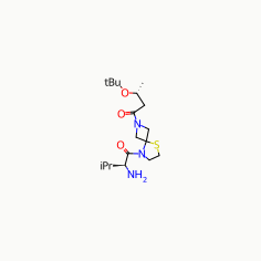 CC(C)[C@H](N)C(=O)N1CCSC12CN(C(=O)C[C@@H](C)OC(C)(C)C)C2